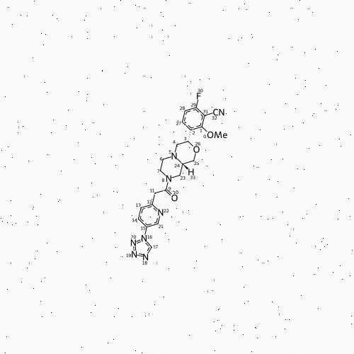 COc1c([C@H]2CN3CCN(C(=O)Cc4ccc(-n5cnnn5)cn4)C[C@H]3CO2)ccc(F)c1C#N